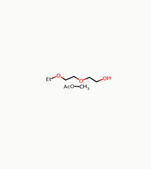 CCOCCOCCO.COC(C)=O